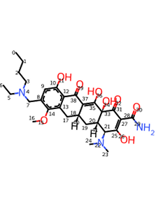 CCCCN(CC)Cc1cc(O)c2c(c1OC)C[C@H]1C[C@H]3[C@H](N(C)C)C(O)=C(C(N)=O)C(=O)[C@@]3(O)C(O)=C1C2=O